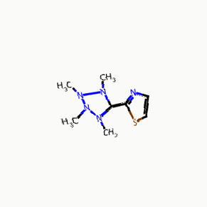 CN1C(c2nccs2)N(C)N(C)N1C